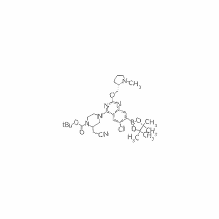 CN1CCC[C@H]1COc1nc(N2CCN(C(=O)OC(C)(C)C)C(CC#N)C2)c2cc(Cl)c(B3OC(C)(C)C(C)(C)O3)cc2n1